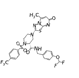 Cc1cc(=O)nc2sc(N3CCN(S(=O)(=O)c4ccc(C(F)(F)F)cc4)[C@@H](C(=O)NCc4ccc(OC(F)F)cc4)C3)nn12